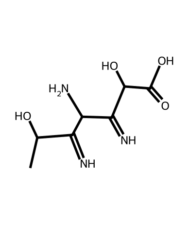 CC(O)C(=N)C(N)C(=N)C(O)C(=O)O